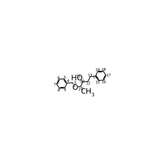 C[C@H](OCc1ccccc1)C(O)CCc1ccccc1